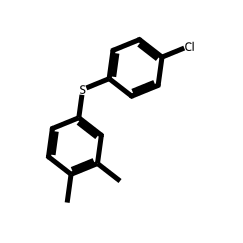 Cc1ccc(Sc2ccc(Cl)cc2)cc1C